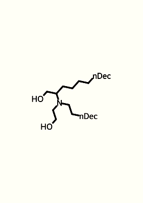 CCCCCCCCCCCCCCC(CO)N(CCO)CCCCCCCCCCCC